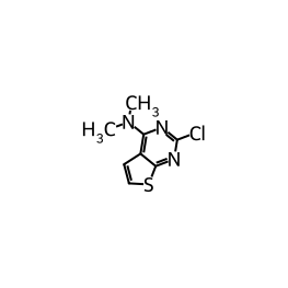 CN(C)c1nc(Cl)nc2sccc12